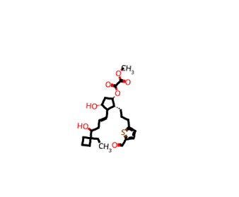 CCC1(C(O)C/C=C/C2[C@H](O)C[C@H](OC(=O)C(=O)OC)[C@@H]2CCCc2ccc(C=O)s2)CCC1